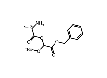 C[C@H](N)C(=O)OC(OC(C)(C)C)C(=O)OCc1ccccc1